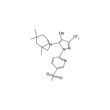 CC1(C)CC2CC(C)(CN2c2c(C#N)c(C(F)(F)F)nn2-c2ccc(S(C)(=O)=O)cn2)C1